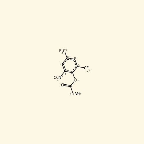 CNC(=O)Oc1c([N+](=O)[O-])cc(C(F)(F)F)cc1C(F)(F)F